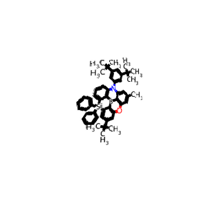 Cc1cc2c3c(c1)N(c1cc(C(C)(C)C)cc(C(C)(C)C)c1)c1cccc4c1B3c1c(cc(C(C)(C)C)cc1[Si]4(c1ccccc1)c1ccccc1)O2